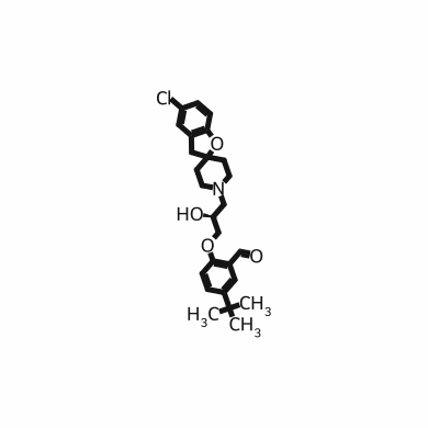 CC(C)(C)c1ccc(OC[C@@H](O)CN2CCC3(CC2)Cc2cc(Cl)ccc2O3)c(C=O)c1